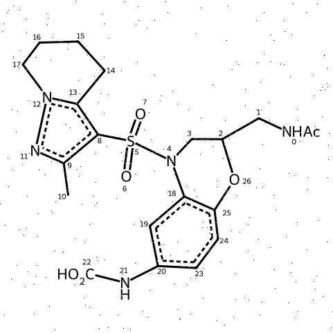 CC(=O)NCC1CN(S(=O)(=O)c2c(C)nn3c2CCCC3)c2cc(NC(=O)O)ccc2O1